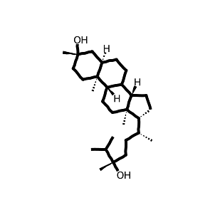 CC(C)[C@@](C)(O)CC[C@@H](C)[C@H]1CC[C@H]2C3CC[C@@H]4C[C@@](C)(O)CC[C@]4(C)[C@H]3CC[C@]12C